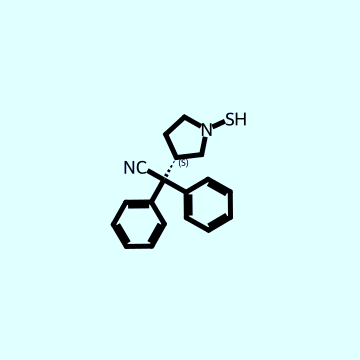 N#CC(c1ccccc1)(c1ccccc1)[C@@H]1CCN(S)C1